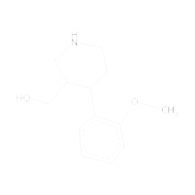 COc1ccccc1C1CCNCC1CO